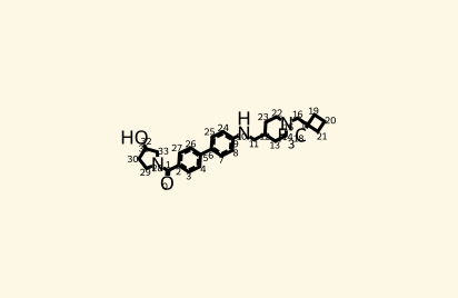 O=C(c1ccc(-c2ccc(NCC3CCN(CC4(C(F)(F)F)CCC4)CC3)cc2)cc1)N1CCC(O)C1